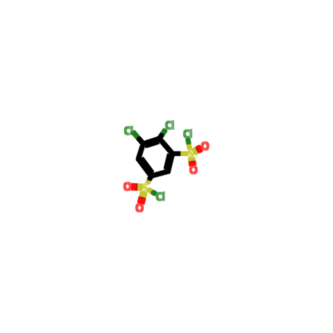 O=S(=O)(Cl)c1cc(Cl)c(Cl)c(S(=O)(=O)Cl)c1